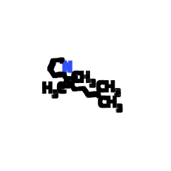 CC(C)=CCC[Si](C)(C)c1ccccn1